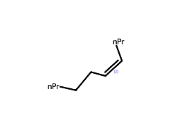 CCC/C=C\CCCCC